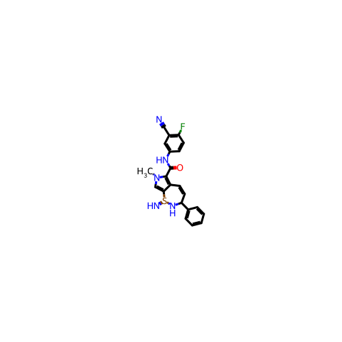 Cn1cc2c(c1C(=O)Nc1ccc(F)c(C#N)c1)C=CC(c1ccccc1)NS2=N